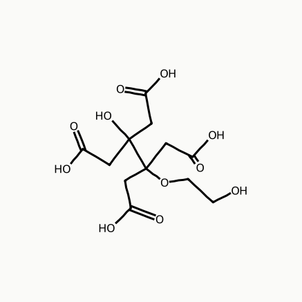 O=C(O)CC(O)(CC(=O)O)C(CC(=O)O)(CC(=O)O)OCCO